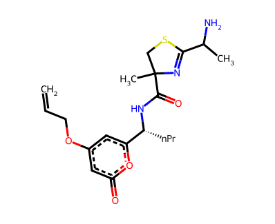 C=CCOc1cc([C@@H](CCC)NC(=O)C2(C)CSC(C(C)N)=N2)oc(=O)c1